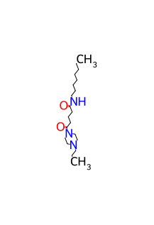 CCCCCCCCNC(=O)CCCC(=O)N1CCN(CCC)CC1